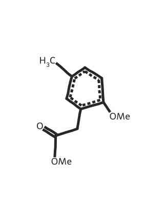 COC(=O)Cc1cc(C)ccc1OC